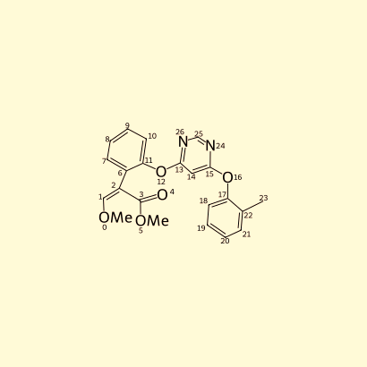 COC=C(C(=O)OC)c1ccccc1Oc1cc(Oc2ccccc2C)ncn1